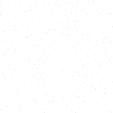 ON=C1CC2CCC1C2=C(c1ccccc1)c1ccccc1